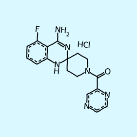 Cl.NC1=NC2(CCN(C(=O)c3cnccn3)CC2)Nc2cccc(F)c21